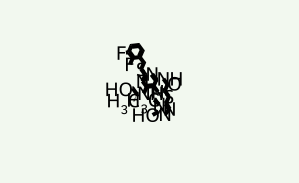 C[C@H](CO)Nc1nc(SCc2cccc(F)c2F)nc2[nH]c(=O)c(Sc3nnc(O)n3C)nc12